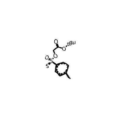 Cc1ccc(S(=O)(=S)OCC(=O)OC(C)(C)C)cc1